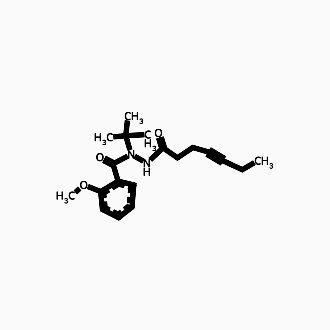 CCC#CCCC(=O)NN(C(=O)c1ccccc1OC)C(C)(C)C